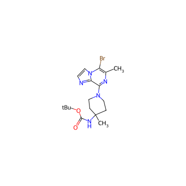 Cc1nc(N2CCC(C)(NC(=O)OC(C)(C)C)CC2)c2nccn2c1Br